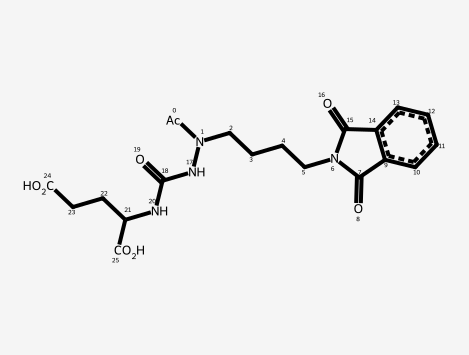 CC(=O)N(CCCCN1C(=O)c2ccccc2C1=O)NC(=O)NC(CCC(=O)O)C(=O)O